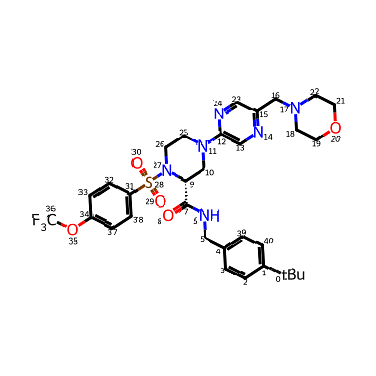 CC(C)(C)c1ccc(CNC(=O)[C@H]2CN(c3cnc(CN4CCOCC4)cn3)CCN2S(=O)(=O)c2ccc(OC(F)(F)F)cc2)cc1